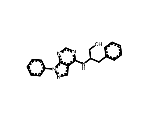 OCC(Cc1ccccc1)Nc1ncnc2c1cnn2-c1ccccc1